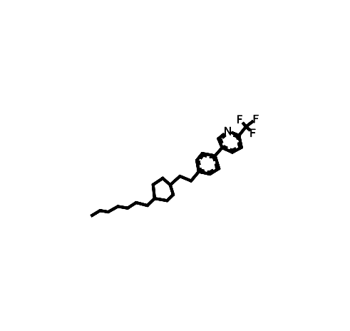 CCCCCCCC1CCC(CCc2ccc(-c3ccc(C(F)(F)F)nc3)cc2)CC1